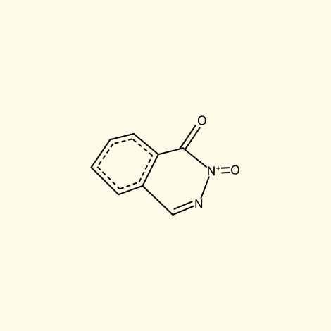 O=C1c2ccccc2C=N[N+]1=O